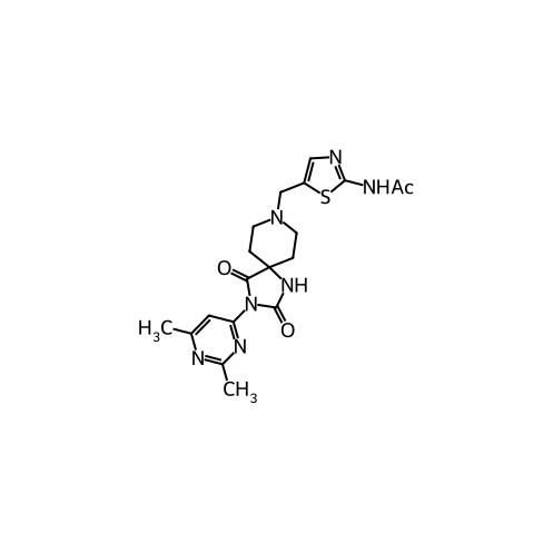 CC(=O)Nc1ncc(CN2CCC3(CC2)NC(=O)N(c2cc(C)nc(C)n2)C3=O)s1